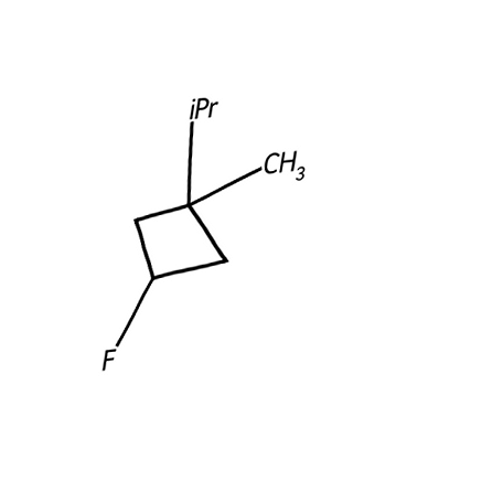 CC(C)C1(C)CC(F)C1